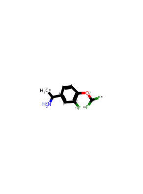 CC(N)c1ccc(OC(F)F)c(F)c1